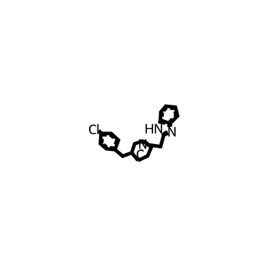 Clc1ccc(CC2CC3CCC2CN3Cc2nc3ccccc3[nH]2)cc1